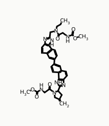 C=C1CC(c2nc3ccc4cc(-c5ccc6c(ccc7nc(CN(CCC)C(=O)CNC(=O)OC)[nH]c76)c5)ccc4c3[nH]2)N(C(=O)CNC(=O)OC)C1